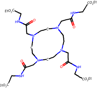 CCOC(=O)CNC(=O)CN1CCN(CC(=O)NCC(=O)OCC)CCN(CC(=O)NCC(=O)OCC)CCN(CC(=O)NCC(=O)OCC)CC1